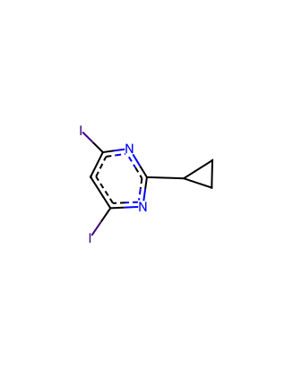 Ic1cc(I)nc(C2CC2)n1